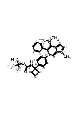 CN(C)C1=C(c2ccccc2)N(c2ccc(C3(NC(=O)OC(C)(C)C)CCC3)cc2)C=C2C1=CC=S2C